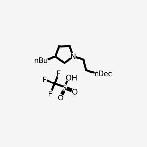 CCCCCCCCCCCCN1CCC(CCCC)C1.O=S(=O)(O)C(F)(F)F